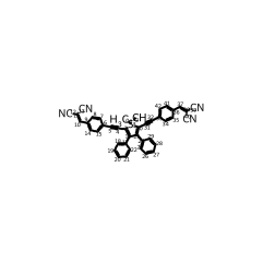 C[Si]1(C)C(C#Cc2ccc(C=C(C#N)C#N)cc2)=C(c2ccccc2)C(c2ccccc2)=C1C#Cc1ccc(C=C(C#N)C#N)cc1